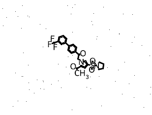 CC(=O)c1cc(S(=O)(=O)N2CCCC2)cn1CC(=O)c1ccc(-c2cccc(C(F)(F)F)c2)cc1